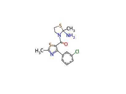 Cc1nc(-c2cccc(Cl)c2)c(C(=O)N2CCSC2(C)N)s1